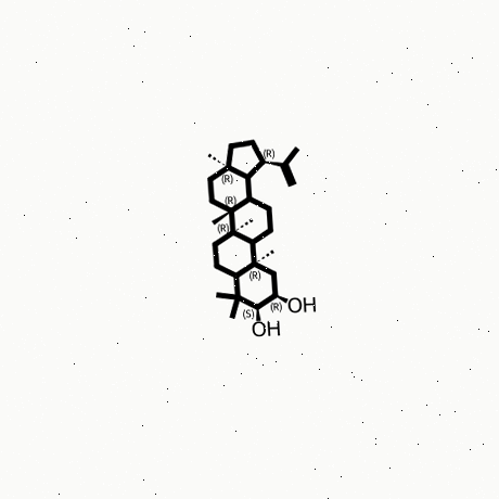 C=C(C)[C@@H]1CC[C@]2(C)CC[C@]3(C)C(CCC4[C@@]5(C)C[C@@H](O)[C@@H](O)C(C)(C)C5CC[C@]43C)C12